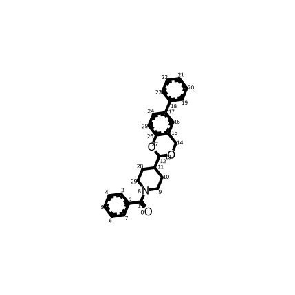 O=C(c1ccccc1)N1CCC(C2OCc3cc(-c4c[c]ccc4)ccc3O2)CC1